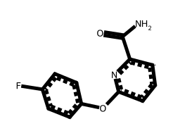 NC(=O)c1[c]ccc(Oc2ccc(F)cc2)n1